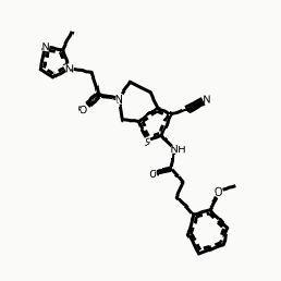 COc1ccccc1CCC(=O)Nc1sc2c(c1C#N)CCN(C(=O)Cn1ccnc1C)C2